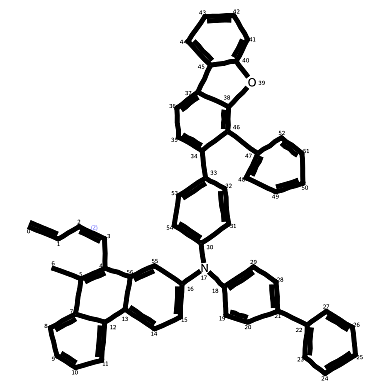 C=C/C=C\c1c(C)c2ccccc2c2ccc(N(c3ccc(-c4ccccc4)cc3)c3ccc(-c4ccc5c(oc6ccccc65)c4-c4ccccc4)cc3)cc12